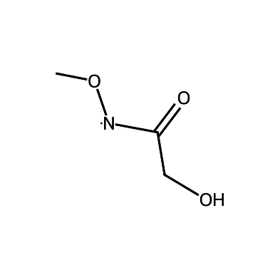 CO[N]C(=O)CO